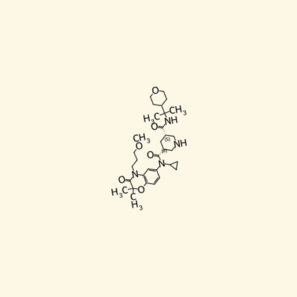 COCCCN1C(=O)C(C)(C)Oc2ccc(N(C(=O)[C@H]3CNC[C@@H](C(=O)NC(C)(C)C4CCOCC4)C3)C3CC3)cc21